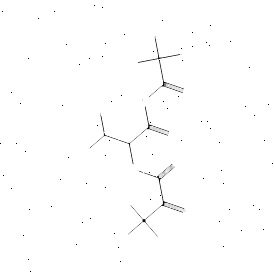 C=C(C(=O)OC(C(=O)NC(=O)C(C)(C)C)C(C)C)C(F)(F)F